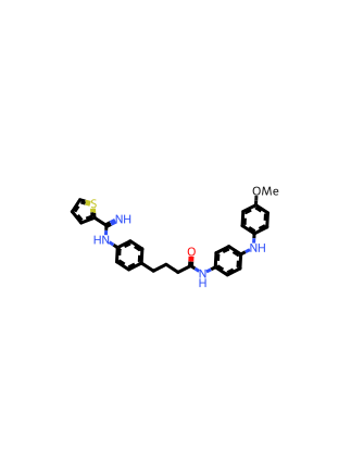 COc1ccc(Nc2ccc(NC(=O)CCCc3ccc(NC(=N)c4cccs4)cc3)cc2)cc1